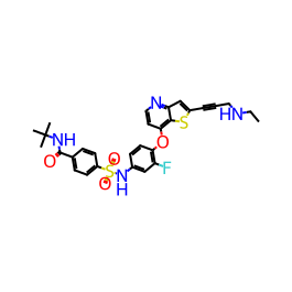 CCNCC#Cc1cc2nccc(Oc3ccc(NS(=O)(=O)c4ccc(C(=O)NC(C)(C)C)cc4)cc3F)c2s1